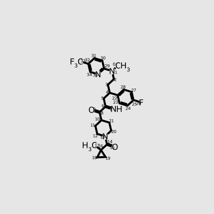 CN(CCC(CC(=N)C(=O)C1CCN(C(=O)C2(C)CC2)CC1)c1ccc(F)cc1)c1ccc(C(F)(F)F)cn1